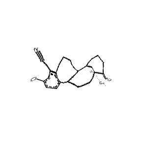 C[C@]12CCC3c4ccc(Cl)c(C#N)c4CCC3C1CCC2=O